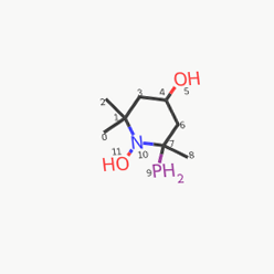 CC1(C)CC(O)CC(C)(P)N1O